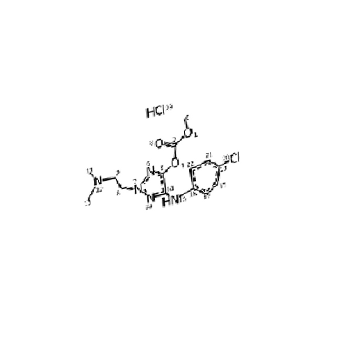 COC(=O)Oc1nn(CCN(C)C)nc1Nc1ccc(Cl)cc1.Cl